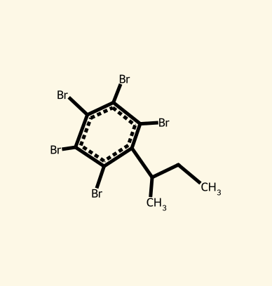 CCC(C)c1c(Br)c(Br)c(Br)c(Br)c1Br